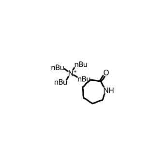 CCCC[N+](CCCC)(CCCC)CCCC.O=C1CCCCCN1